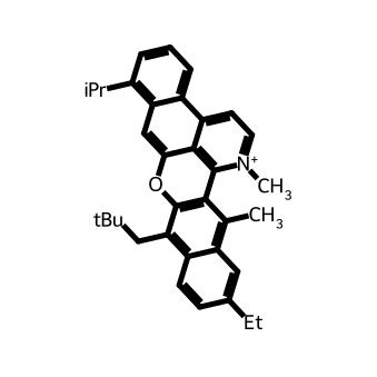 CCc1ccc2c(CC(C)(C)C)c3c(c(C)c2c1)-c1c2c(cc4c(C(C)C)cccc4c2cc[n+]1C)O3